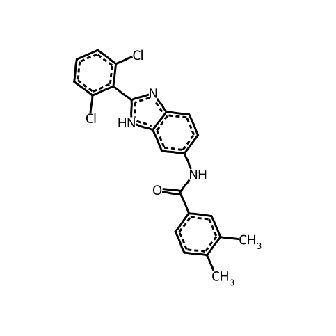 Cc1ccc(C(=O)Nc2ccc3nc(-c4c(Cl)cccc4Cl)[nH]c3c2)cc1C